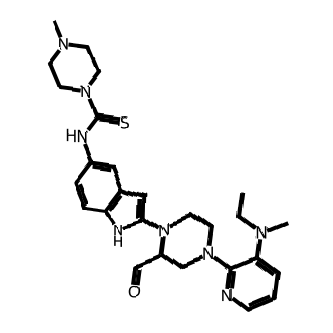 CCN(C)c1cccnc1N1CCN(c2cc3cc(NC(=S)N4CCN(C)CC4)ccc3[nH]2)C(C=O)C1